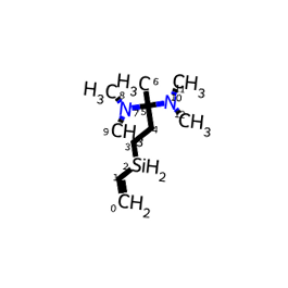 C=C[SiH2]CCC(C)(N(C)C)N(C)C